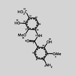 COc1c(N)ccc(C(=O)Nc2ccc(C(=O)O)c(O)c2OC)c1O